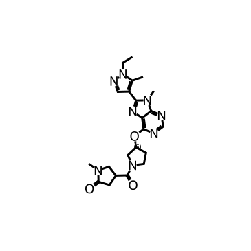 CCn1ncc(-c2nc3c(O[C@H]4CCN(C(=O)C5CC(=O)N(C)C5)C4)ncnc3n2C)c1C